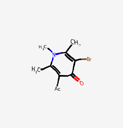 CC(=O)c1c(C)n(C)c(C)c(Br)c1=O